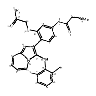 CNCC(=O)Nc1ccc(-c2nc3ccccn3c2Nc2c(C)cccc2C)c(OCC(N)=O)c1